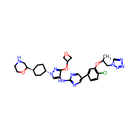 CC(Cn1cnnn1)Oc1cc(-c2cnc(Nc3cn([C@H]4CC[C@H](C5CNCCO5)CC4)nc3OC3COC3)nc2)ccc1Cl